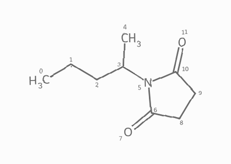 C[CH]CC(C)N1C(=O)CCC1=O